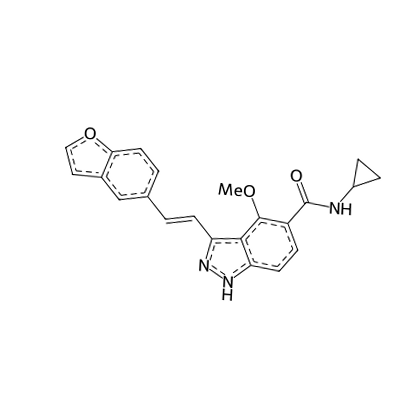 COc1c(C(=O)NC2CC2)ccc2[nH]nc(C=Cc3ccc4occc4c3)c12